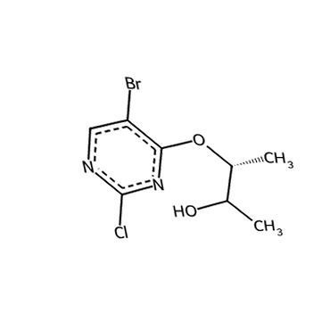 CC(O)[C@@H](C)Oc1nc(Cl)ncc1Br